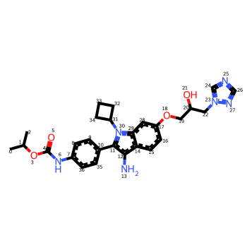 CC(C)OC(=O)Nc1ccc(-c2c(N)c3ccc(OCC(O)Cn4cncn4)cc3n2C2CCC2)cc1